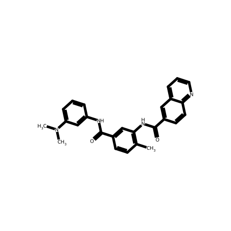 Cc1ccc(C(=O)Nc2cccc(N(C)C)c2)cc1NC(=O)c1ccc2ncccc2c1